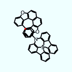 c1ccc2c(c1)oc1ccc3ccc4oc5cccc(-c6ccc(N(c7cccc8c7sc7ccccc78)c7cccc8c7sc7ccccc78)cc6)c5c4c3c12